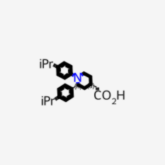 CC(C)c1ccc([C@H]2C[C@@H](CC(=O)O)CCN2c2ccc(C(C)C)cc2)cc1